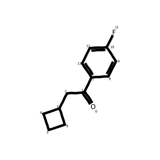 O=C(CC1CCC1)c1ccc(F)cc1